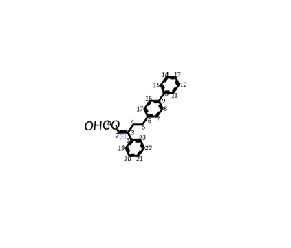 O=CO/C=C(\CCc1ccc(-c2ccccc2)cc1)c1ccccc1